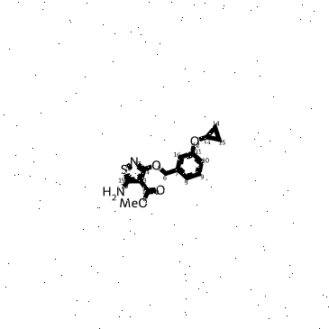 COC(=O)c1c(OCc2cccc(OC3CC3)c2)nsc1N